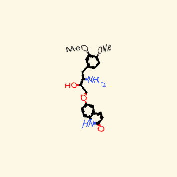 COc1ccc(CC(N)C(O)COc2ccc3[nH]c(=O)ccc3c2)cc1OC